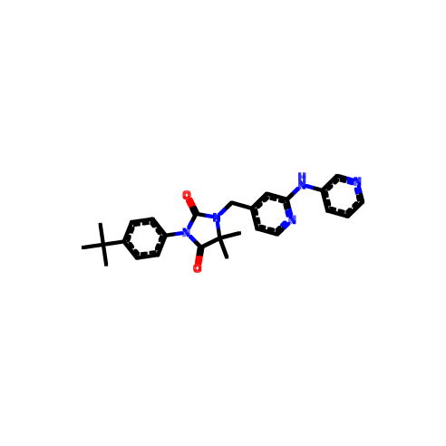 CC(C)(C)c1ccc(N2C(=O)N(Cc3ccnc(Nc4cccnc4)c3)C(C)(C)C2=O)cc1